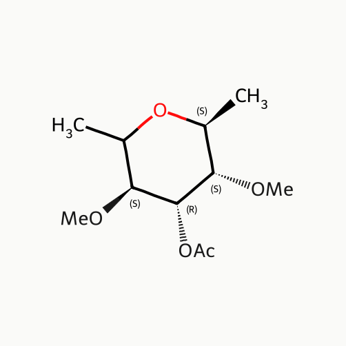 CO[C@@H]1[C@H](OC(C)=O)[C@@H](OC)C(C)O[C@H]1C